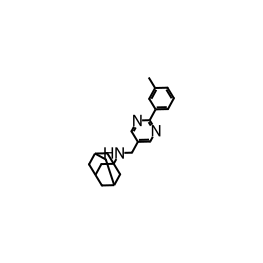 Cc1cccc(-c2ncc(CNC34CC5CC(CC(C5)C3)C4)cn2)c1